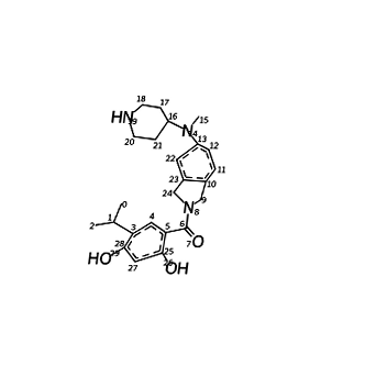 CC(C)c1cc(C(=O)N2Cc3ccc(N(C)C4CCNCC4)cc3C2)c(O)cc1O